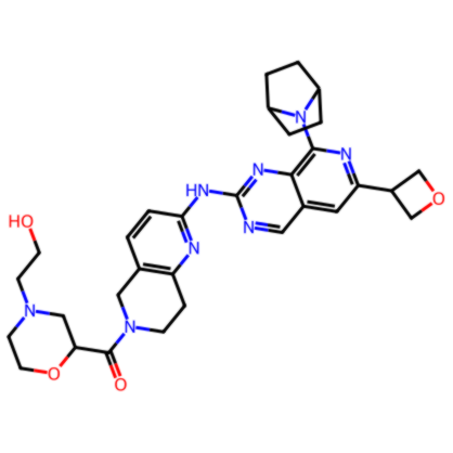 O=C(C1CN(CCO)CCO1)N1CCc2nc(Nc3ncc4cc(C5COC5)nc(N5C6CCC5CC6)c4n3)ccc2C1